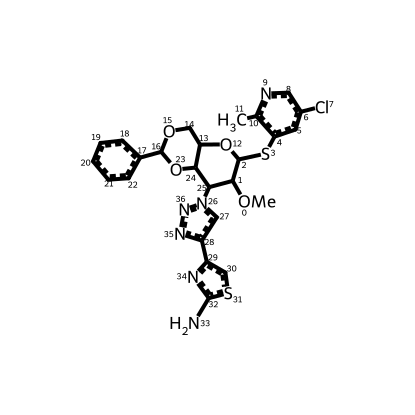 COC1C(Sc2cc(Cl)cnc2C)OC2COC(c3ccccc3)OC2C1n1cc(-c2csc(N)n2)nn1